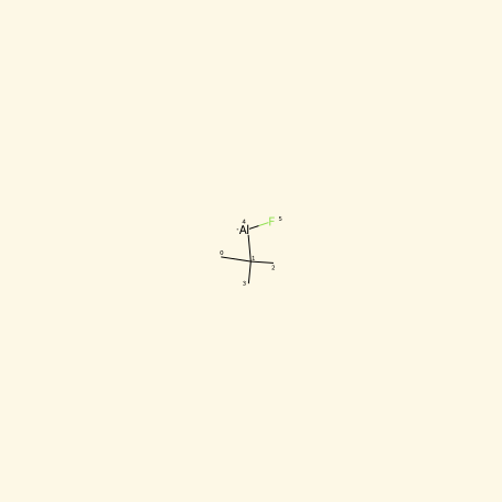 C[C](C)(C)[Al][F]